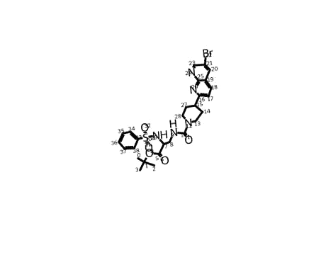 CC(C)(C)OC(=O)C(CNC(=O)N1CCC(c2ccc3cc(Br)cnc3n2)CC1)NS(=O)(=O)c1ccccc1